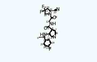 C[C@@H](Nc1cnccc1C(=O)NCC(=O)N1CC(F)(F)C[C@H]1C#N)c1ccc(F)cc1